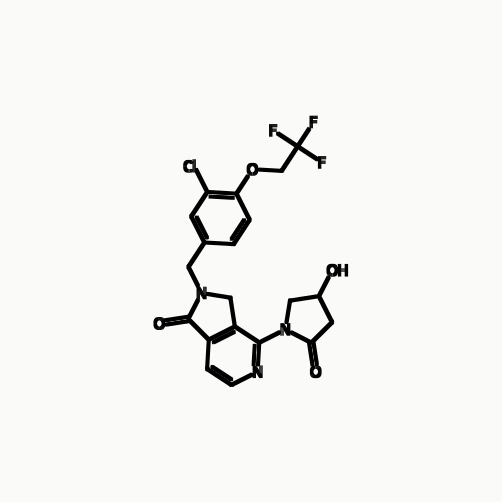 O=C1c2ccnc(N3CC(O)CC3=O)c2CN1Cc1ccc(OCC(F)(F)F)c(Cl)c1